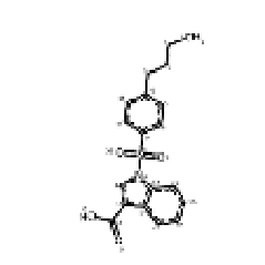 CCCCc1ccc(S(=O)(=O)n2cc(C(=O)O)c3ccccc32)cc1